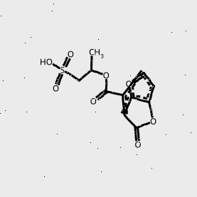 CC(CS(=O)(=O)O)OC(=O)c1c2c3oc1cc3OC2=O